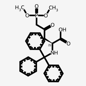 COP(=O)(CC(=O)C[C@H](NC(c1ccccc1)(c1ccccc1)c1ccccc1)C(=O)O)OC